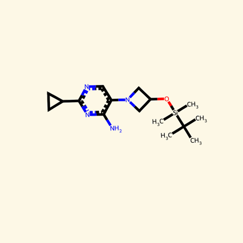 CC(C)(C)[Si](C)(C)OC1CN(c2cnc(C3CC3)nc2N)C1